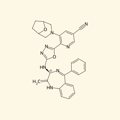 C=C1Nc2ccccc2C(c2ccccc2)=N[C@@H]1Nc1nnc(-c2ncc(C#N)cc2N2CC3CCC(C2)O3)o1